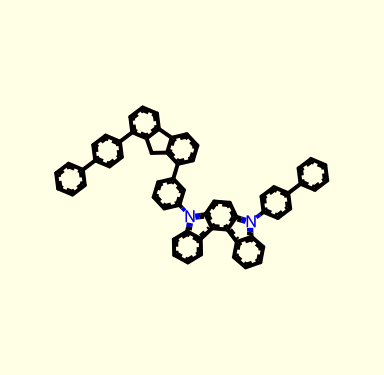 c1ccc(-c2ccc(-c3cccc4c3Cc3c(-c5cccc(-n6c7ccccc7c7c8c9ccccc9n(-c9ccc(-c%10ccccc%10)cc9)c8ccc76)c5)cccc3-4)cc2)cc1